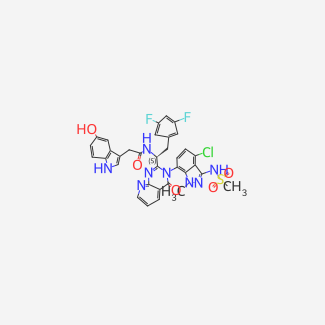 Cn1nc(NS(C)(=O)=O)c2c(Cl)ccc(-n3c([C@H](Cc4cc(F)cc(F)c4)NC(=O)Cc4c[nH]c5ccc(O)cc45)nc4ncccc4c3=O)c21